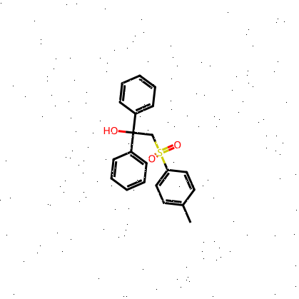 Cc1ccc(S(=O)(=O)CC(O)(c2ccccc2)c2ccccc2)cc1